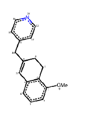 COc1cccc2c1CCC(Cc1ccncc1)=C2